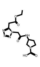 CCOC(=O)Cc1nnnn1CC(=O)NC1CCN(C(=O)O)C1